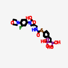 O=C(NC[C@H]1CN(c2ccc(N3CCOCC3)c(F)c2)C(O)O1)Sc1ccc(CC(P(O)O)[PH](=O)O)cc1